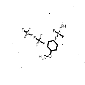 COC1CCCCC1.F[B-](F)(F)F.F[B-](F)(F)F.F[B-](F)(F)F.[KH]